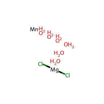 O.O.O.O.O.O.[Cl][Mg][Cl].[Mn]